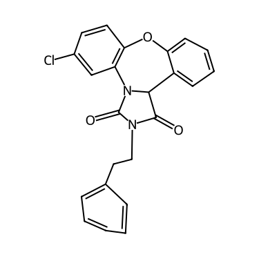 O=C1C2c3ccccc3Oc3ccc(Cl)cc3N2C(=O)N1CCc1ccccc1